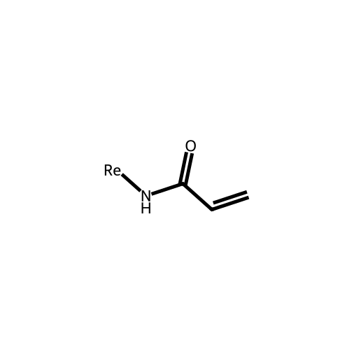 C=CC(=O)[NH][Re]